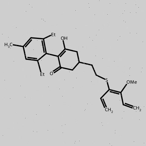 C=C/C(OC)=C(\C=C)SCCC1CC(=O)C(c2c(CC)cc(C)cc2CC)=C(O)C1